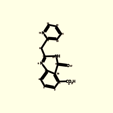 O=C(O)c1cccc2nc(Cc3ccccn3)[nH]c(=O)c12